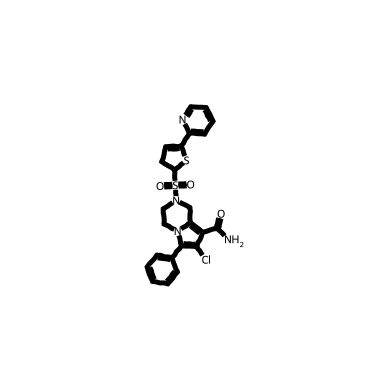 NC(=O)c1c(Cl)c(-c2ccccc2)n2c1CN(S(=O)(=O)C1CC=C(c3ccccn3)S1)CC2